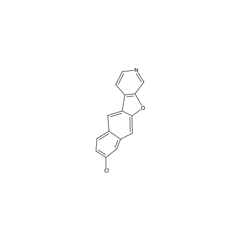 Clc1ccc2cc3c(cc2c1)oc1cnccc13